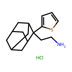 Cl.NCCC1(c2cccs2)C2CC3CC(C2)CC1C3